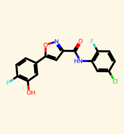 O=C(Nc1cc(Cl)ccc1F)c1cc(-c2ccc(F)c(O)c2)on1